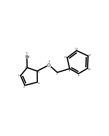 BrC1C=CCC1OCc1ccccc1